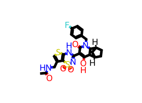 CC(=O)NCc1csc2c1S(=O)(=O)N=C(C1=C(O)C3C([C@@H]4CC[C@H]3C4)N(Cc3ccc(F)cc3)C1=O)N2